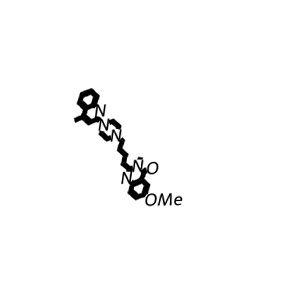 COc1ccc2nc(CCCCN3CCN(c4cc(C)c5ccccc5n4)CC3)n(C)c(=O)c2c1